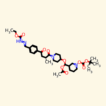 CCOC(=O)NN=Cc1ccc(C(=O)C[C@@H](C)C(=O)N2CCC(OC(OC(C)=O)C3CCCN(OC(=O)OC(C)(C)C)C3)CC2)cc1